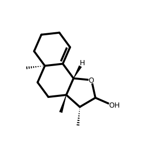 C[C@H]1C(O)O[C@H]2C3=CCCC[C@]3(C)CC[C@]21C